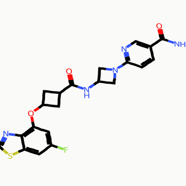 NC(=O)c1ccc(N2CC(NC(=O)C3CC(Oc4cc(F)cc5scnc45)C3)C2)nc1